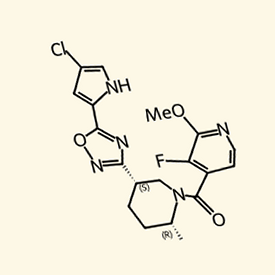 COc1nccc(C(=O)N2C[C@@H](c3noc(-c4cc(Cl)c[nH]4)n3)CC[C@H]2C)c1F